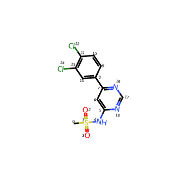 CS(=O)(=O)Nc1cc(-c2ccc(Cl)c(Cl)c2)ncn1